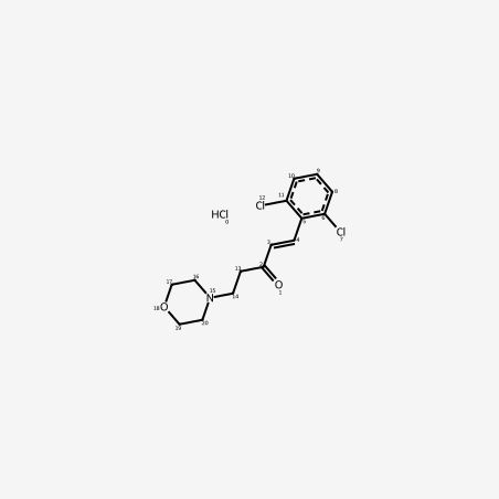 Cl.O=C(C=Cc1c(Cl)cccc1Cl)CCN1CCOCC1